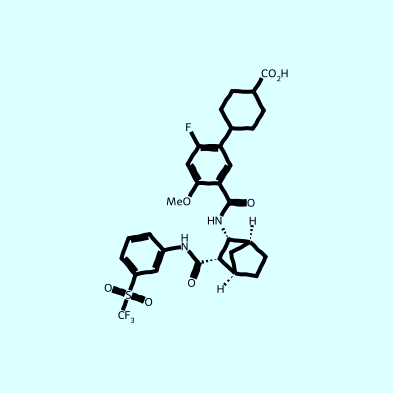 COc1cc(F)c(C2CCC(C(=O)O)CC2)cc1C(=O)N[C@@H]1[C@H]2CC[C@H](C2)[C@@H]1C(=O)Nc1cccc(S(=O)(=O)C(F)(F)F)c1